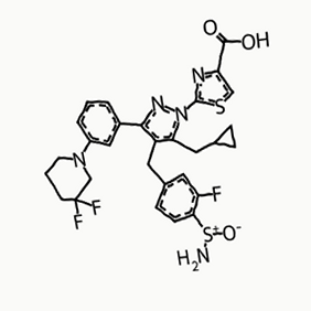 N[S+]([O-])c1ccc(Cc2c(-c3cccc(N4CCCC(F)(F)C4)c3)nn(-c3nc(C(=O)O)cs3)c2CC2CC2)cc1F